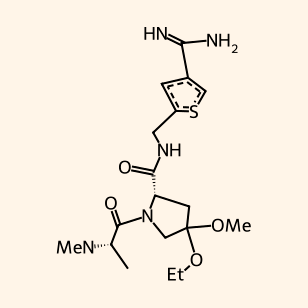 CCOC1(OC)C[C@@H](C(=O)NCc2cc(C(=N)N)cs2)N(C(=O)[C@H](C)NC)C1